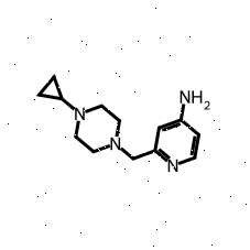 Nc1ccnc(CN2CCN(C3CC3)CC2)c1